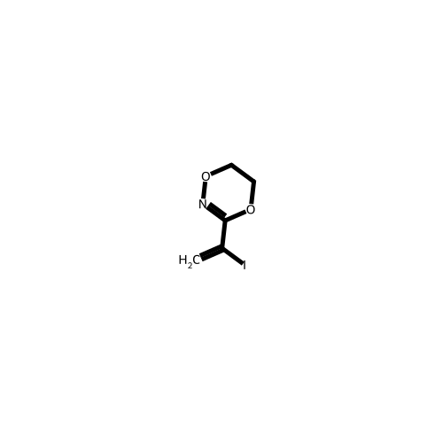 C=C(I)C1=NOCCO1